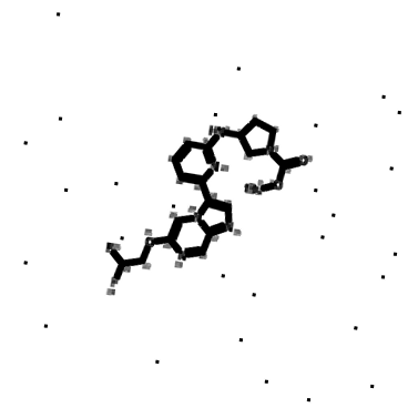 CC(C)(C)OC(=O)N1CCC(Nc2cccc(-c3cnc4cnc(OCC(F)F)cn34)n2)C1